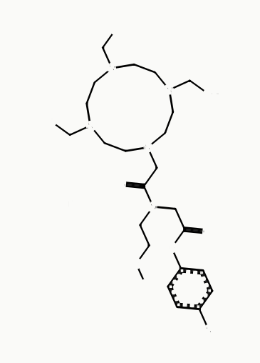 CCOCCN(CC(=O)Oc1ccc([N+](=O)[O-])cc1)C(=O)CN1CCN(CC(=O)[O-])CCN(CC(=O)[O-])CCN(CC(=O)[O-])CC1.[Gd+3]